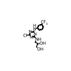 OC[C@H](O)CNc1nc(Cl)nc(Nc2cccc(C(F)(F)F)c2)n1